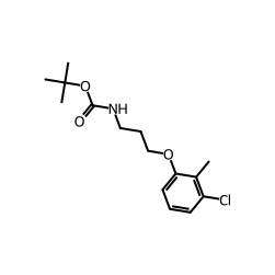 Cc1c(Cl)cccc1OCCCNC(=O)OC(C)(C)C